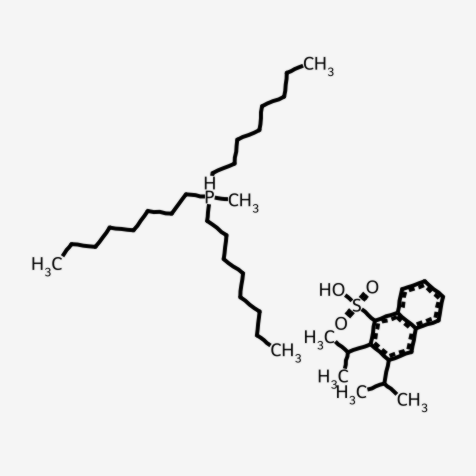 CC(C)c1cc2ccccc2c(S(=O)(=O)O)c1C(C)C.CCCCCCCC[PH](C)(CCCCCCCC)CCCCCCCC